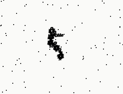 COC(=O)c1cc(-c2cccc(C(=O)Nc3ccc(OCCc4ccccc4)cc3)c2)cnc1N1CCOCC1